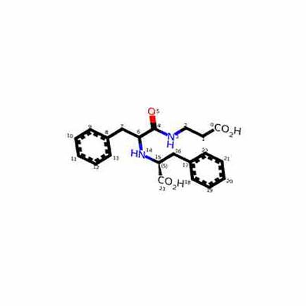 O=C(O)CCNC(=O)C(Cc1ccccc1)N[C@@H](Cc1ccccc1)C(=O)O